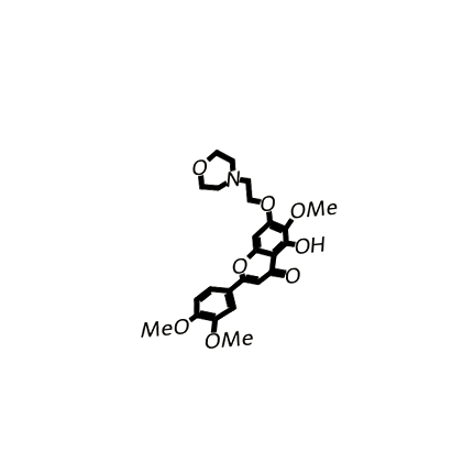 COc1ccc(-c2cc(=O)c3c(O)c(OC)c(OCCN4CCOCC4)cc3o2)cc1OC